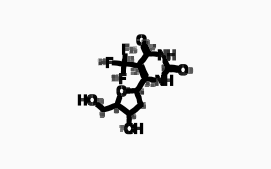 O=c1[nH]c(C2CC(O)C(CO)O2)c(C(F)(F)F)c(=O)[nH]1